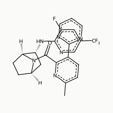 Cc1ccc(-c2ncccn2)c(C(=O)N2[C@@H]3CC[C@H]2[C@H](Nc2ncc(C(F)(F)F)cc2F)C3)n1